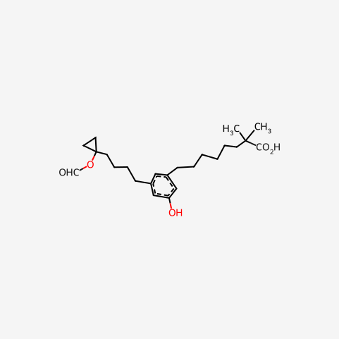 CC(C)(CCCCCCc1cc(O)cc(CCCCC2(OC=O)CC2)c1)C(=O)O